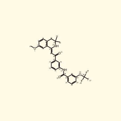 COc1ccc2c(c1)/C(=C/C(=O)c1cccc(NC(=O)c3cccc(OC(F)(F)F)c3)c1)NC(C)(C)C2